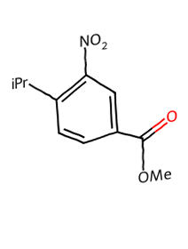 COC(=O)c1ccc(C(C)C)c([N+](=O)[O-])c1